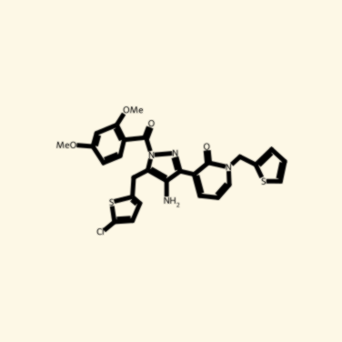 COc1ccc(C(=O)n2nc(-c3cccn(Cc4cccs4)c3=O)c(N)c2Cc2ccc(Cl)s2)c(OC)c1